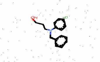 Cl.OCCCN(Cc1ccccc1)c1ccccc1